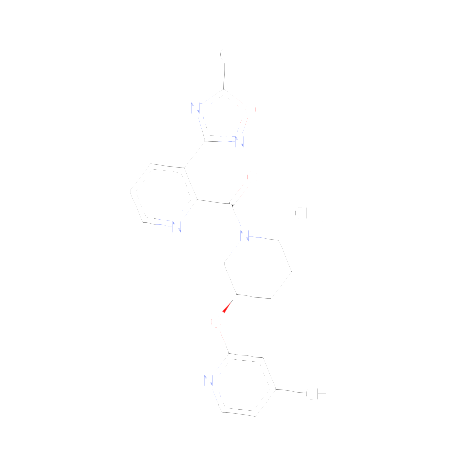 Cc1ccnc(O[C@@H]2CC[C@@H](C)N(C(=O)c3ncccc3-c3noc(C)n3)C2)c1